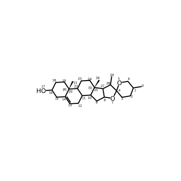 CC1CCC2(OC1)OC1CC3C4CC=C5CC(O)CC[C@]5(C)C4CC[C@]3(C)C1C2C